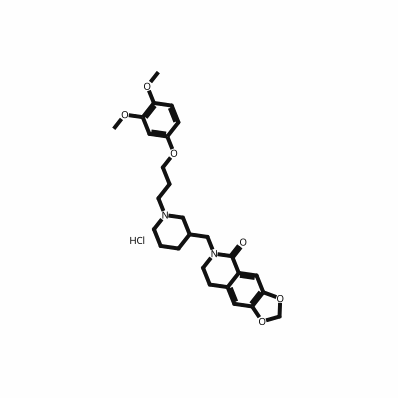 COc1ccc(OCCCN2CCCC(CN3CCc4cc5c(cc4C3=O)OCO5)C2)cc1OC.Cl